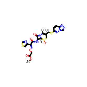 CC(C)(C)OC(=O)CON=C(C(=O)NC1C(=O)N2C(C(=O)O)=C(CSc3ccc4nncn4n3)C[S+]([O-])[C@@H]12)c1cscn1